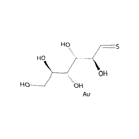 OC[C@@H](O)[C@@H](O)[C@H](O)[C@H](O)C=S.[Au]